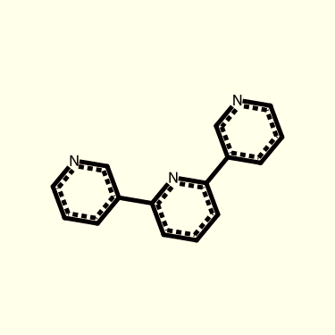 c1cncc(-c2cccc(-c3cccnc3)n2)c1